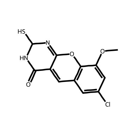 COc1cc(Cl)cc2c1OC1=NC(S)NC(=O)C1=C2